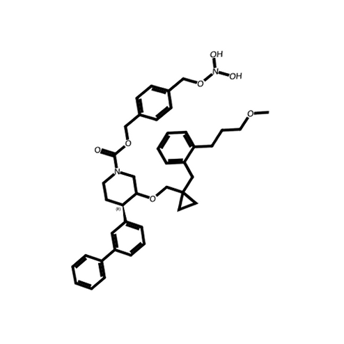 COCCCc1ccccc1CC1(COC2CN(C(=O)OCc3ccc(CON(O)O)cc3)CC[C@@H]2c2cccc(-c3ccccc3)c2)CC1